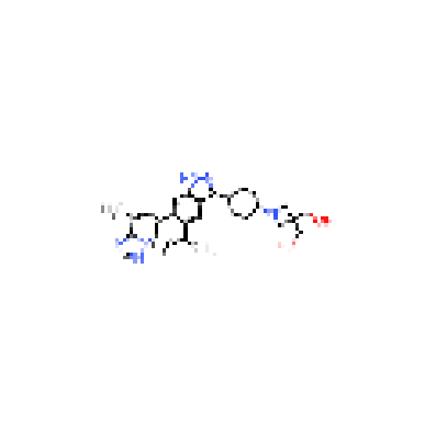 Cc1cc(-c2cc3[nH]nc(C4CCC(N5CC(CO)(CO)C5)CC4)c3cc2C(C)C)cn2ncnc12